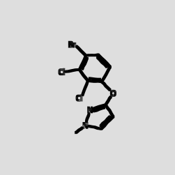 Cn1ccc(Oc2ccc(Br)c(Cl)c2Cl)n1